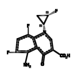 Nc1c(F)cc(F)c2c1c(=O)c(C(=O)O)cn2[C@@H]1C[C@@H]1F